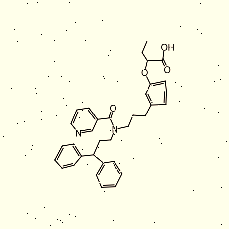 CCC(Oc1cccc(CCCN(CCC(c2ccccc2)c2ccccc2)C(=O)c2cccnc2)c1)C(=O)O